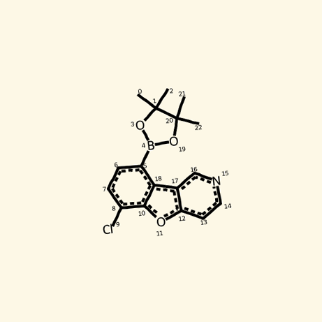 CC1(C)OB(c2ccc(Cl)c3oc4ccncc4c23)OC1(C)C